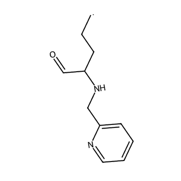 [CH2]CCC(C=O)NCc1ccccn1